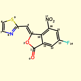 O=C1OC(=Cc2nccs2)c2c1cc(F)cc2[N+](=O)[O-]